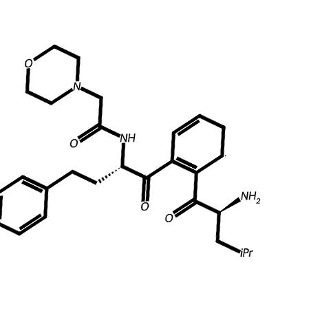 CC(C)C[C@H](N)C(=O)C1=C(C(=O)[C@H](CCc2ccccc2)NC(=O)CN2CCOCC2)C=CC[CH]1